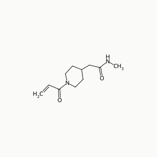 C=CC(=O)N1CCC(CC(=O)NC)CC1